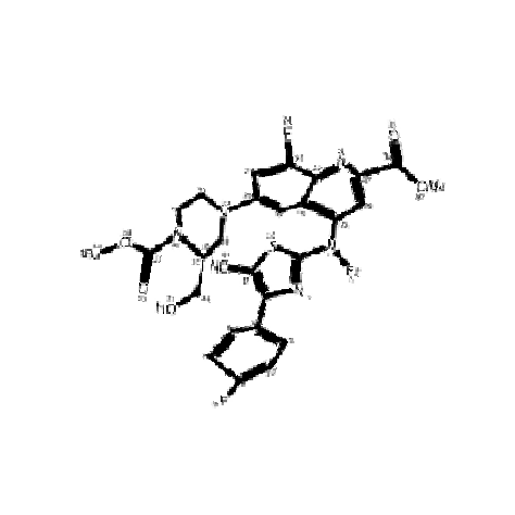 CCN(c1nc(-c2ccc(F)cc2)c(C#N)s1)c1cc(C(=O)OC)nc2c(F)cc(N3CCN(C(=O)OC(C)(C)C)[C@H](CO)C3)cc12